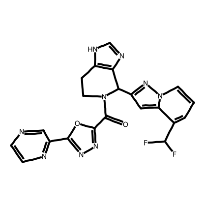 O=C(c1nnc(-c2cnccn2)o1)N1CCc2[nH]cnc2C1c1cc2c(C(F)F)cccn2n1